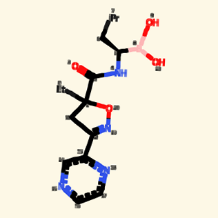 CCC1(C(=O)N[C@@H](CC(C)C)B(O)O)CC(c2cnccn2)=NO1